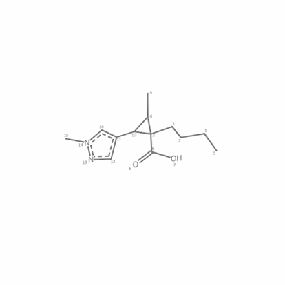 CCCCC1(C(=O)O)C(C)C1c1cnn(C)c1